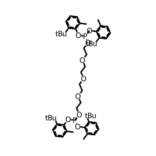 Cc1cccc(C(C)(C)C)c1OP(OCCOCCOCCOCCOP(Oc1c(C)cccc1C(C)(C)C)Oc1c(C)cccc1C(C)(C)C)Oc1c(C)cccc1C(C)(C)C